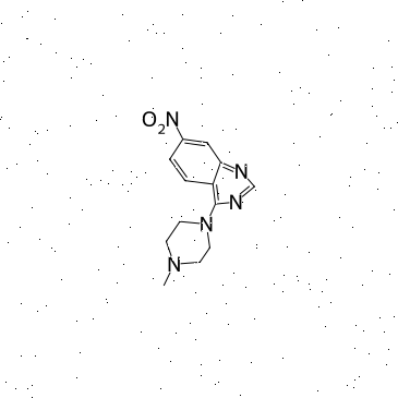 CN1CCN(c2ncnc3cc([N+](=O)[O-])ccc23)CC1